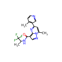 Cc1ccncc1-c1cc(C)n2ncc(C(=O)NC(C)C(F)(F)F)c2n1